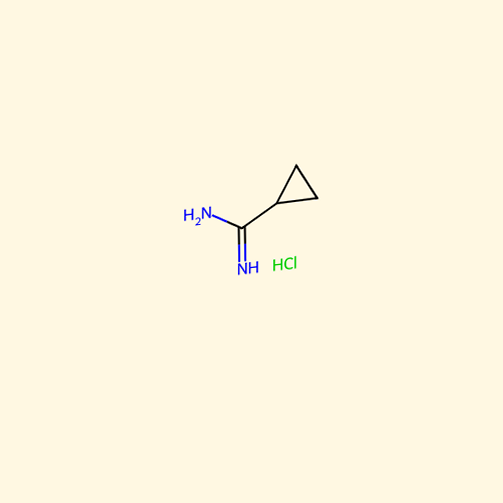 Cl.N=C(N)C1CC1